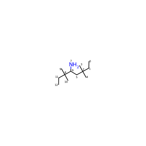 CCC(C)(C)CC(N)C(C)(C)CC